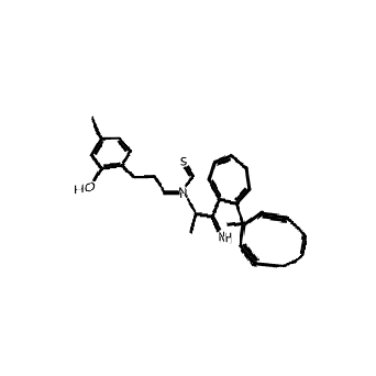 Cc1ccc(CCCN(C=S)C(C)C(=N)C2=CC=CCC=C2C2(C)C=CC/C=C\C=C/2)c(O)c1